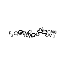 COc1cc2nccc(Oc3ccc(NC(=O)NCc4ccc(C(F)(F)F)nc4)cc3)c2cc1OC